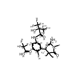 CN1C(=O)C(C)(C)[C@@](C)(c2cc(NC(=O)C(O)(C(F)(F)F)C(F)(F)F)ccc2F)N=C1N.O=C(O)C(F)(F)F